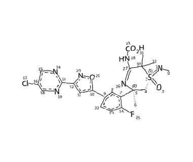 CN=[S@]1(=O)C[C@@](C)(c2cc(-c3cc(-c4ncc(Cl)cn4)no3)ccc2F)N=C(NC(=O)O)C1(C)C